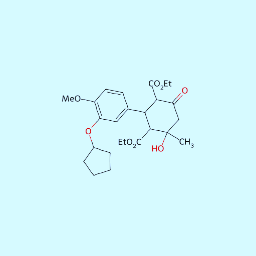 CCOC(=O)C1C(=O)CC(C)(O)C(C(=O)OCC)C1c1ccc(OC)c(OC2CCCC2)c1